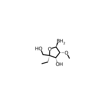 B[C@@H]1O[C@](CC)(CO)[C@@H](O)[C@H]1OC